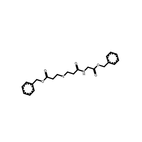 O=C(CCSCCC(=O)OCc1ccccc1)NCC(=O)OCc1ccccc1